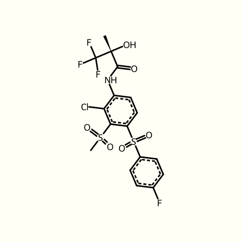 C[C@@](O)(C(=O)Nc1ccc(S(=O)(=O)c2ccc(F)cc2)c(S(C)(=O)=O)c1Cl)C(F)(F)F